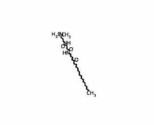 CCCCCCCCCCCCCCCCCC(=O)/C=C/CCNC(=O)CCC(=O)NCCCN(C)C